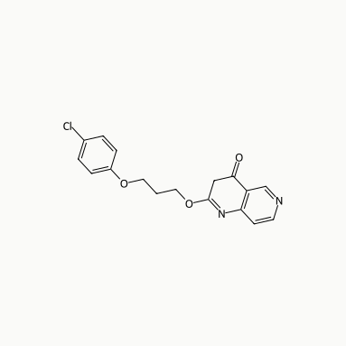 O=C1CC(OCCCOc2ccc(Cl)cc2)=Nc2ccncc21